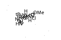 COc1cc(Cl)c2[nH]c(C(=O)NC(CC(C)(C)C)C(=O)NC(C#N)CC3CCNC3=O)cc2c1